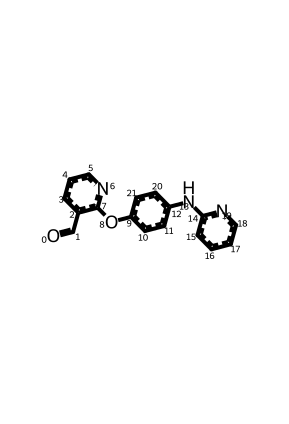 O=Cc1cccnc1Oc1ccc(Nc2ccccn2)cc1